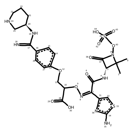 CC1(C)[C@H](NC(=O)/C(=N\OC(COc2ccc(C(=N)N[C@@H]3CCCNC3)cc2)C(=O)O)c2csc(N)n2)C(=O)N1OS(=O)(=O)O